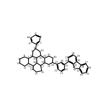 c1ccc(C2CC3C4CCCCC4C4CCCC5C6CC(c7cccc(-c8cccc9c8sc8ccccc89)c7)CCC6C(C2)C3C45)cc1